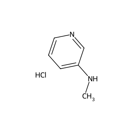 CNc1cccnc1.Cl